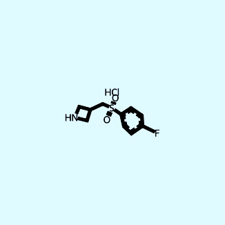 Cl.O=S(=O)(CC1CNC1)c1ccc(F)cc1